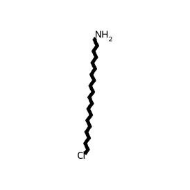 NCCCCCCCCCCCCCCCCCCCCCl